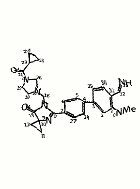 CNc1cc(-c2ccc(C3=NC4(CC4)C(=O)N3CN3CCN(C(=O)C4CC4)C3)cc2)ccc1C=N